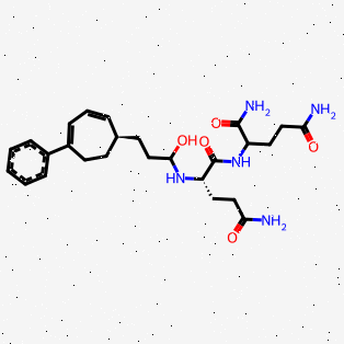 NC(=O)CCC(NC(=O)[C@H](CCC(N)=O)NC(O)CC[C@@H]1C=CC=C(c2ccccc2)CC1)C(N)=O